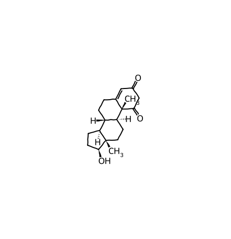 C[C@]12C(=O)CC(=O)C=C1CC[C@@H]1[C@@H]2CC[C@]2(C)[C@@H](O)CC[C@@H]12